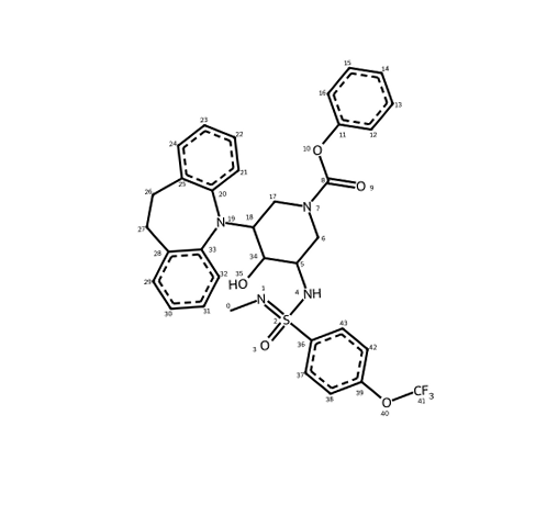 CN=S(=O)(NC1CN(C(=O)Oc2ccccc2)CC(N2c3ccccc3CCc3ccccc32)C1O)c1ccc(OC(F)(F)F)cc1